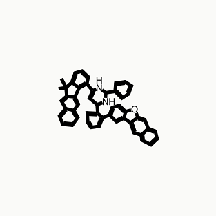 CC1(C)c2cc3ccccc3cc2-c2c(C3=CC(c4ccccc4-c4ccc5oc6cc7ccccc7cc6c5c4)NC(c4ccccc4)N3)cccc21